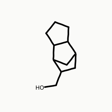 OCC1CC2CC1C1CCCC21